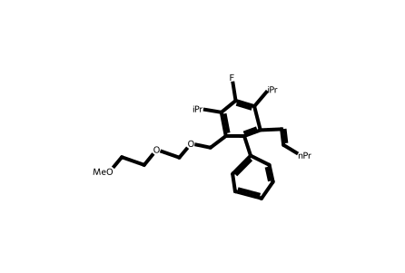 CCCC=Cc1c(-c2ccccc2)c(COCOCCOC)c(C(C)C)c(F)c1C(C)C